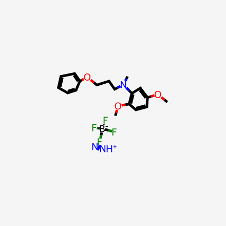 COc1ccc(OC)c(N(C)CCCOc2ccccc2)c1.F[B-](F)(F)F.N#[NH+]